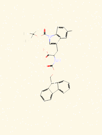 Cc1ccc2c(c1)c(CC(NC(=O)OCC1c3ccccc3-c3ccccc31)C(=O)O)cn2C(=O)OC(C)(C)C